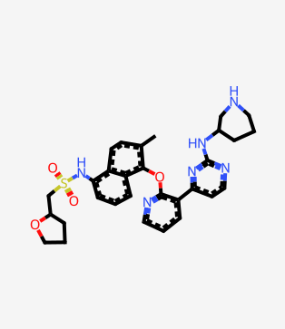 Cc1ccc2c(NS(=O)(=O)CC3CCCO3)cccc2c1Oc1ncccc1-c1ccnc(NC2CCCNC2)n1